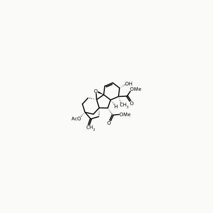 C=C1C[C@]23C[C@]1(OC(C)=O)CC[C@@]21O[C@]12C=C[C@H](O)[C@@](C)(C(=O)OC)[C@H]2[C@@H]3C(=O)OC